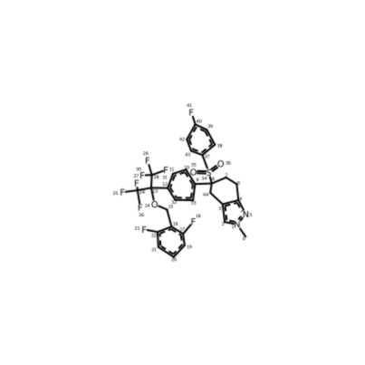 Cn1cc2c(n1)CCC(c1ccc(C(OCc3c(F)cccc3F)(C(F)(F)F)C(F)(F)F)cc1)(S(=O)(=O)c1ccc(F)cc1)C2